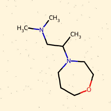 CC(CN(C)C)N1CCCOCC1